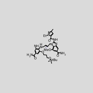 CCn1nc(C)cc1C(=O)Nc1nc2cc(C(N)=O)cc(OC)c2n1C/C=C/CNc1c(N)cc(C(N)=O)cc1OCCCO[Si](C)(C)C(C)(C)C